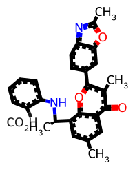 Cc1cc([C@@H](C)Nc2ccccc2C(=O)O)c2oc(-c3ccc4nc(C)oc4c3)c(C)c(=O)c2c1